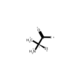 CC[C@](C)(N)C(=O)I